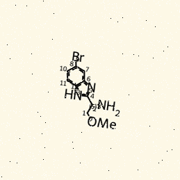 COC[C@@H](N)c1nc2cc(Br)ccc2[nH]1